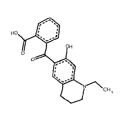 CCN1CCCc2cc(C(=O)c3ccccc3C(=O)O)c(O)cc21